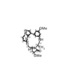 COc1cc2cc(c1)-c1cnn3ccc(nc13)OC[C@@H]1C[C@@H](OC)C(=O)N1C(C)CN2